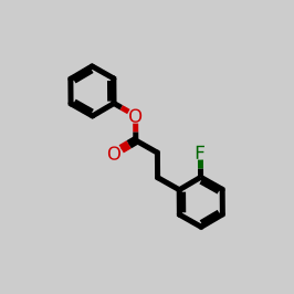 O=C(CCc1ccccc1F)Oc1ccccc1